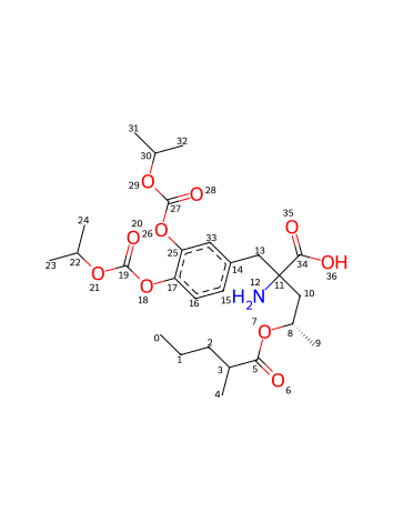 CCCC(C)C(=O)O[C@@H](C)CC(N)(Cc1ccc(OC(=O)OC(C)C)c(OC(=O)OC(C)C)c1)C(=O)O